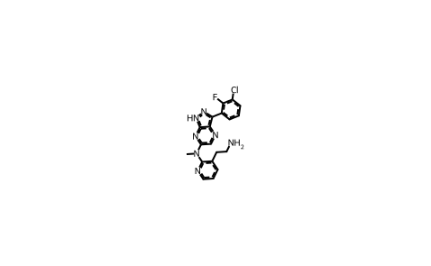 CN(c1cnc2c(-c3cccc(Cl)c3F)n[nH]c2n1)c1ncccc1CCN